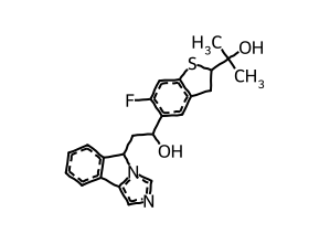 CC(C)(O)C1Cc2cc(C(O)CC3c4ccccc4-c4cncn43)c(F)cc2S1